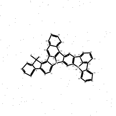 CC1(C)c2ccccc2-c2ccc3c(c21)c1cc2ccccc2c2c4cc5c6cccc7c8ccccc8n(c5cc4n3c12)c76